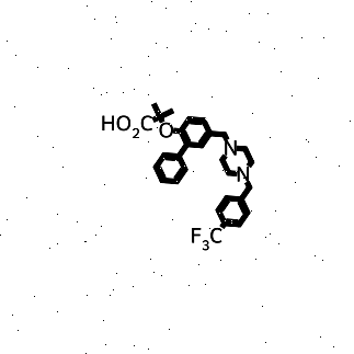 CC(C)(Oc1ccc(CN2CCN(Cc3ccc(C(F)(F)F)cc3)CC2)cc1-c1ccccc1)C(=O)O